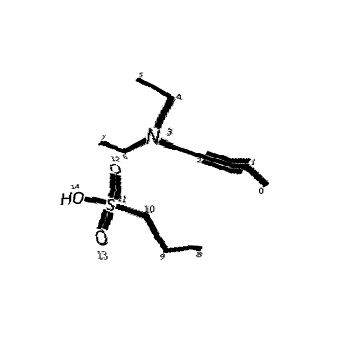 CC#CN(CC)CC.CCCS(=O)(=O)O